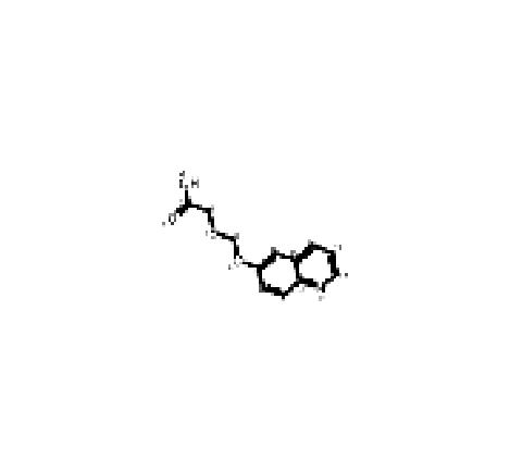 O=C(O)CSCOc1ccc2ncccc2c1